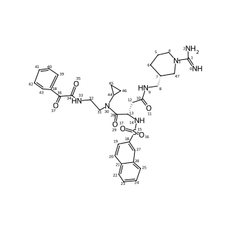 N=C(N)N1CCC[C@@H](CNC(=O)C[C@H](NS(=O)(=O)c2ccc3ccccc3c2)C(=O)N(CCNC(=O)C(=O)c2ccccc2)C2CC2)C1